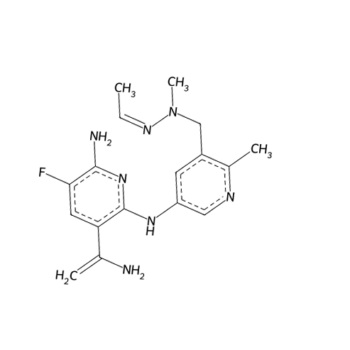 C=C(N)c1cc(F)c(N)nc1Nc1cnc(C)c(CN(C)/N=C\C)c1